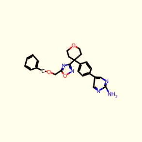 Nc1ncc(-c2ccc(C3(c4noc(COCc5ccccc5)n4)CCOCC3)cc2)cn1